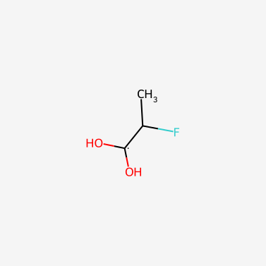 CC(F)[C](O)O